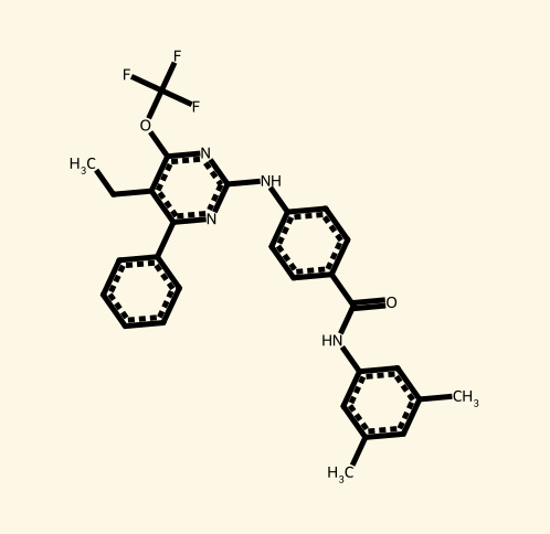 CCc1c(OC(F)(F)F)nc(Nc2ccc(C(=O)Nc3cc(C)cc(C)c3)cc2)nc1-c1ccccc1